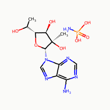 CC(O)[C@H]1O[C@@H](n2cnc3c(N)ncnc32)[C@](C)(O)[C@@H]1O.NP(=O)(O)O